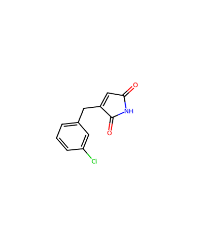 O=C1C=C(Cc2cccc(Cl)c2)C(=O)N1